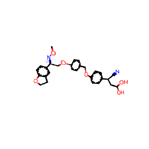 CO/N=C(\COc1ccc(COc2ccc(C(C#N)CC(O)O)cc2)cc1)c1ccc2c(c1)CCO2